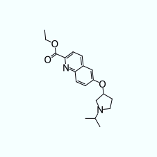 CCOC(=O)c1ccc2cc(OC3CCN(C(C)C)C3)ccc2n1